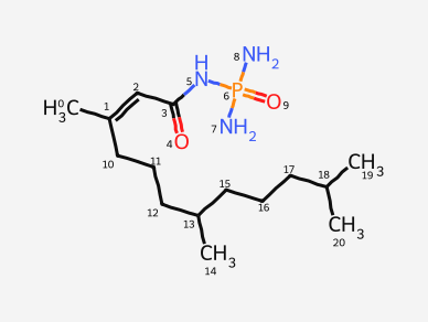 CC(=CC(=O)NP(N)(N)=O)CCCC(C)CCCC(C)C